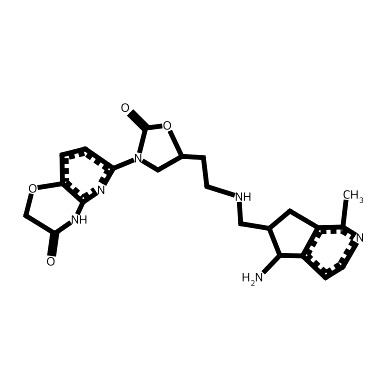 Cc1nccc2c1CC(CNCCC1CN(c3ccc4c(n3)NC(=O)CO4)C(=O)O1)C2N